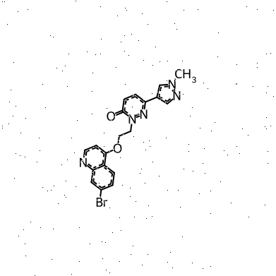 Cn1cc(-c2ccc(=O)n(CCOc3ccnc4cc(Br)ccc34)n2)cn1